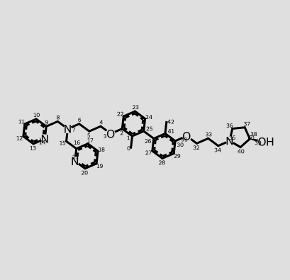 Cc1c(OCCCN(Cc2ccccn2)Cc2ccccn2)cccc1-c1cccc(OCCCN2CC[C@@H](O)C2)c1C